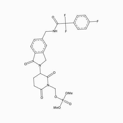 COP(=O)(OC)OCN1C(=O)CCC(N2Cc3cc(CNC(=O)C(F)(F)c4ccc(F)cc4)ccc3C2=O)C1=O